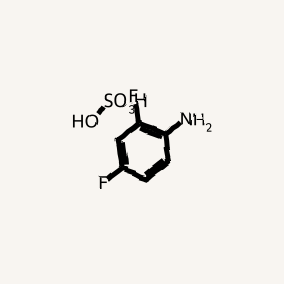 Nc1ccc(F)cc1F.O=S(=O)(O)O